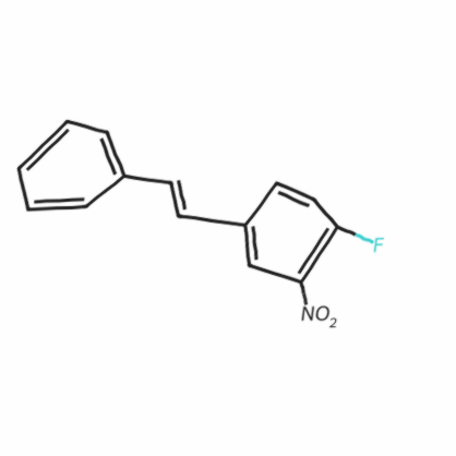 O=[N+]([O-])c1cc(C=Cc2ccccc2)ccc1F